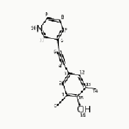 Cc1cc(C#Cc2cccnc2)cc(C)c1O